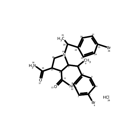 CC(c1ccc(Br)cc1)C1C(C(N)=O)C(C(N)=O)CN1C(C)c1ccc(Br)cc1.Cl